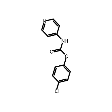 O=C(Nc1ccncc1)Oc1ccc(Cl)cc1